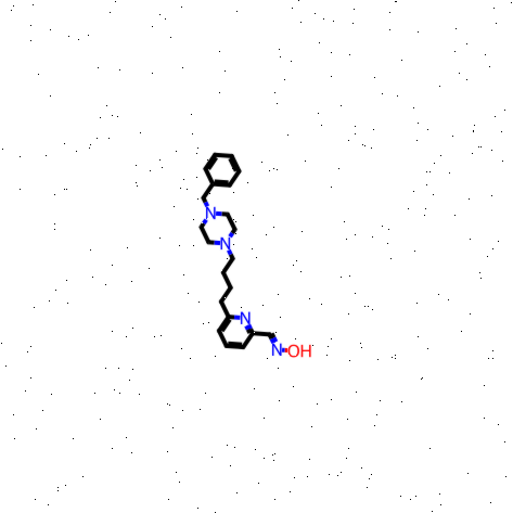 O/N=C/c1cccc(CCCCN2CCN(Cc3ccccc3)CC2)n1